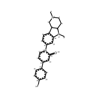 CN1CCC2C(C1)c1ccc(-n3ccc(-c4ccc(F)cc4)cc3=O)cc1N2C